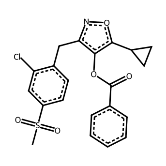 CS(=O)(=O)c1ccc(Cc2noc(C3CC3)c2OC(=O)c2ccccc2)c(Cl)c1